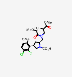 COCC(=O)N(CC(C)C(=O)OC)C[C@@H]1C[C@H](c2c(OC)ccc(Cl)c2Cl)CN1C(=O)O